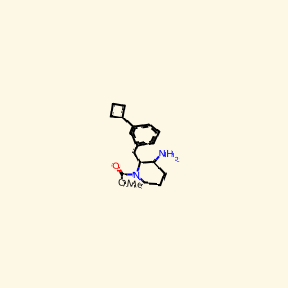 COC(=O)N1CCCC(N)C1Cc1cccc(C2CCC2)c1